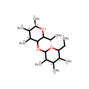 CC(=O)OCC1OC(OC2C(COC(C)=O)O[C@H](OC(C)=O)C(OC(C)=O)C2OC(C)=O)C(OC(C)=O)C(OC(C)=O)C1OC(C)=O